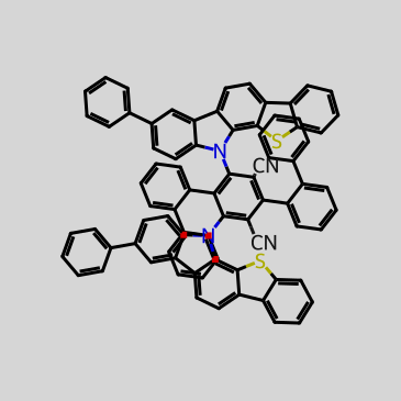 N#Cc1c(-c2ccccc2-c2ccccc2)c(C#N)c(-n2c3ccc(-c4ccccc4)cc3c3ccc4c5ccccc5sc4c32)c(-c2ccccc2-c2ccccc2)c1-n1c2ccc(-c3ccccc3)cc2c2ccc3c4ccccc4sc3c21